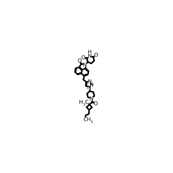 CCCC1CC(C)(C(=O)N2CCC(n3cc(Cc4ccc5c6c(cccc46)C(=O)N5C4CCC(=O)NC4=O)nn3)CC2)C1